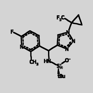 Cc1nc(F)ccc1C(N[S@@+]([O-])C(C)(C)C)c1cn(C2(C(F)(F)F)CC2)nn1